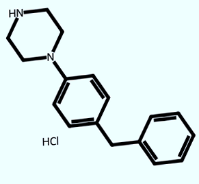 Cl.c1ccc(Cc2ccc(N3CCNCC3)cc2)cc1